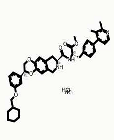 COC(=O)[C@H](Cc1ccc(-c2ccnc(C)c2C)cc1)NC(=O)[C@@H]1Cc2cc3c(cc2CN1)O[C@@H](c1cccc(OCC2CCCCC2)c1)CO3.Cl.Cl